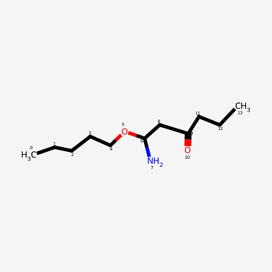 CCCCCOC(N)CC(=O)CCC